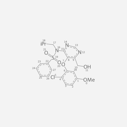 COc1ccc(Cl)c(Oc2c(CO)ncnc2N(CC(C)C)S(=O)(=O)c2ccccc2)c1